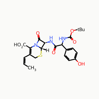 C/C=C\C1=C(C(=O)O)N2C(=O)[C@@H](NC(=O)C(NC(=O)OC(C)(C)C)c3ccc(O)cc3)[C@@H]2SC1